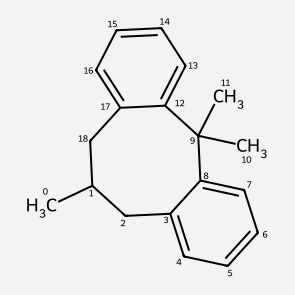 CC1Cc2ccccc2C(C)(C)c2ccccc2C1